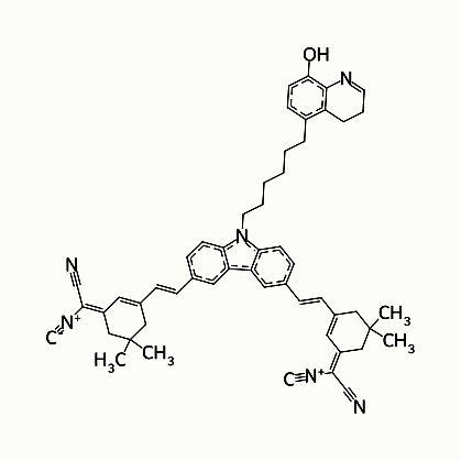 [C-]#[N+]/C(C#N)=C1C=C(/C=C/c2ccc3c(c2)c2cc(/C=C/C4=CC(=C(\C#N)[N+]#[C-])/CC(C)(C)C4)ccc2n3CCCCCCc2ccc(O)c3c2CCC=N3)CC(C)(C)C\1